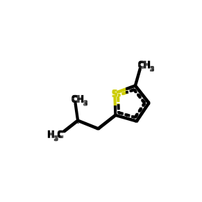 C[C](C)Cc1ccc(C)s1